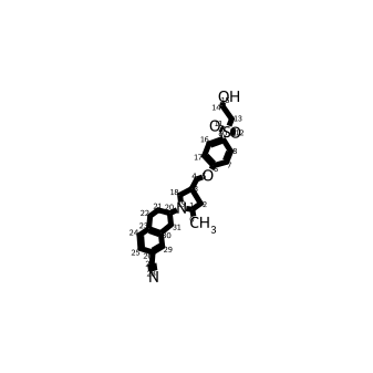 CC1CC(COc2ccc(S(=O)(=O)CCO)cc2)CN1C1CCc2ccc(C#N)cc2C1